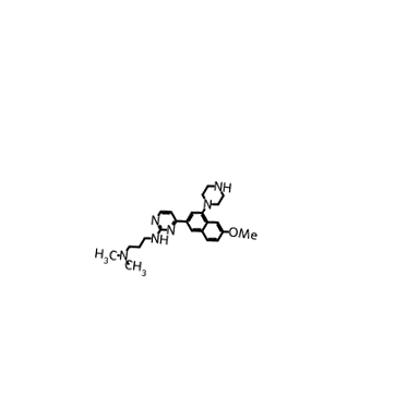 COc1ccc2cc(-c3ccnc(NCCCN(C)C)n3)cc(N3CCNCC3)c2c1